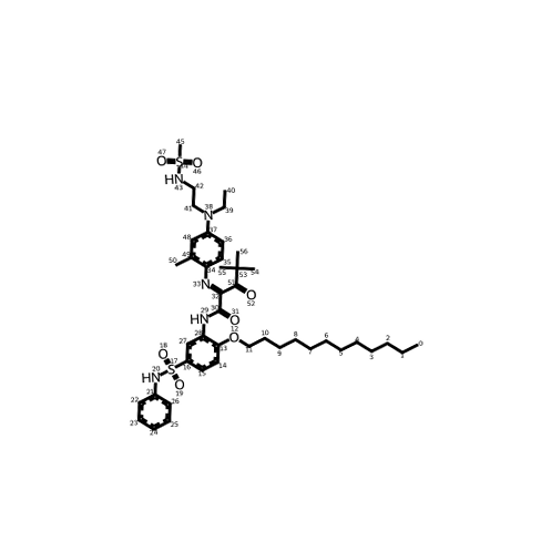 CCCCCCCCCCCCOc1ccc(S(=O)(=O)Nc2ccccc2)cc1NC(=O)C(=Nc1ccc(N(CC)CCNS(C)(=O)=O)cc1C)C(=O)C(C)(C)C